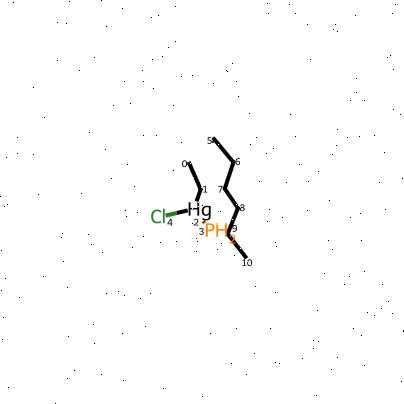 C[CH2][Hg]([PH2])[Cl].[CH2]CCCCC